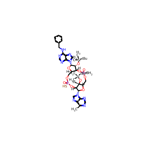 BP1(=O)OC[C@H]2O[C@@H](n3cnc4c(C)ncnc43)[C@H](OP(=O)(S)OC[C@H]3O[C@@H](n4cnc5c(NCc6ccccc6)ncnc54)[C@H](O[Si](C)(C)C(C)(C)C)[C@@H]3O1)[C@@H]2O[Si](C)(C)C(C)(C)C